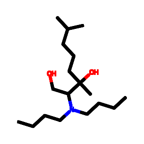 CCCCN(CCCC)C(CO)C(C)(O)CCCC(C)C